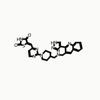 O=C1NC(=O)/C(=C/c2ccnc(N3CCC(CNCc4cc5ccccc5nc4-c4cn[nH]c4)CC3)n2)S1